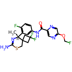 C[C@]1(c2cc(NC(=O)c3cnc(OCF)cn3)ccc2F)N=C(N)SCC12CC(F)(F)C2